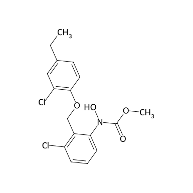 CCc1ccc(OCc2c(Cl)cccc2N(O)C(=O)OC)c(Cl)c1